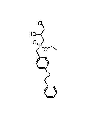 CCOP(=O)(Cc1ccc(OCc2ccccc2)cc1)CC(O)CCl